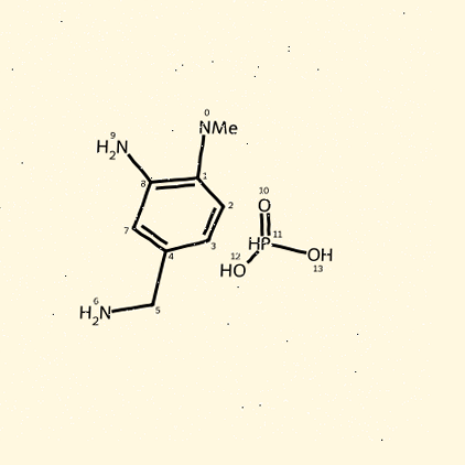 CNc1ccc(CN)cc1N.O=[PH](O)O